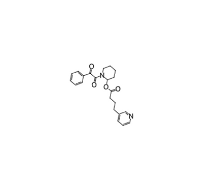 O=C(CCCc1cccnc1)OC1CCCCN1C(=O)C(=O)c1ccccc1